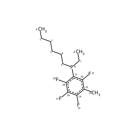 CCCCCCP(CC)c1c(F)c(C)c(F)c(F)c1F